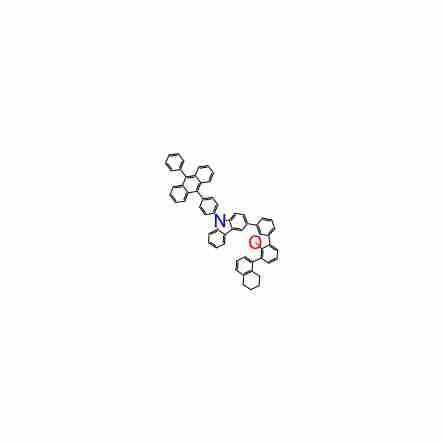 c1ccc(-c2c3ccccc3c(-c3ccc(-n4c5ccccc5c5cc(-c6cccc7c6oc6c(-c8cccc9c8CCCC9)cccc67)ccc54)cc3)c3ccccc23)cc1